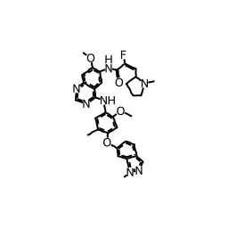 COc1cc2ncnc(Nc3cc(C)c(Oc4ccc5cnn(C)c5c4)cc3OC)c2cc1NC(=O)/C(F)=C\C1CCCN1C